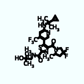 CC1CC(F)(F)CN1C(=O)c1nc(C(=O)NCC(C)(C)O)sc1-c1cnc(NC(C)(C)C2CC2)cc1C(F)(F)F